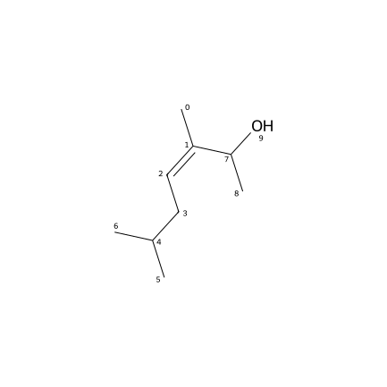 CC(=CCC(C)C)C(C)O